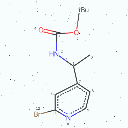 CC(NC(=O)OC(C)(C)C)c1ccnc(Br)c1